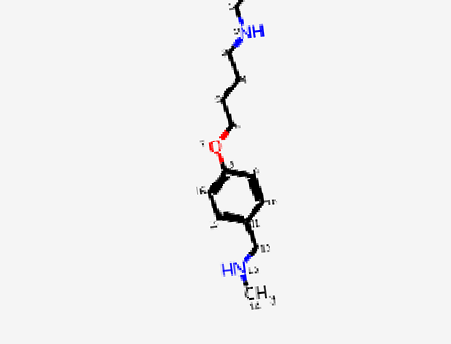 CCNCCCCOc1ccc(CNC)cc1